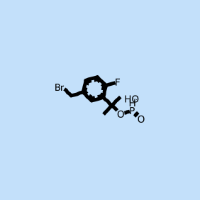 CC(C)(O[PH](=O)O)c1cc(CBr)ccc1F